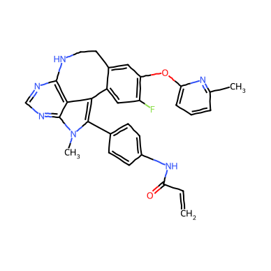 C=CC(=O)Nc1ccc(-c2c3c4c(ncnc4n2C)NCCc2cc(Oc4cccc(C)n4)c(F)cc2-3)cc1